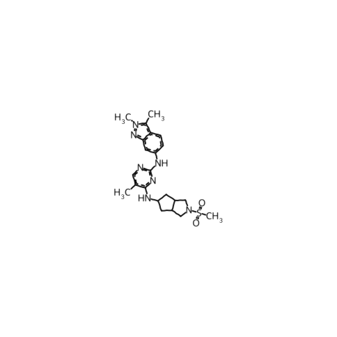 Cc1cnc(Nc2ccc3c(C)n(C)nc3c2)nc1NC1CC2CN(S(C)(=O)=O)CC2C1